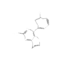 CCOC(=O)c1nc(-c2cccc(Br)c2)c2sccc2n1